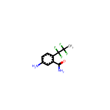 NC(=O)c1cc(N)ccc1C(F)(F)C(F)(F)C(F)(F)F